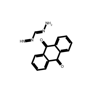 N=N/C=N/N.O=C1c2ccccc2C(=O)c2ccccc21